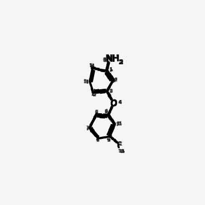 Nc1[c]c(Oc2cccc(F)c2)ccc1